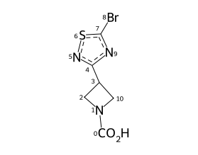 O=C(O)N1CC(c2nsc(Br)n2)C1